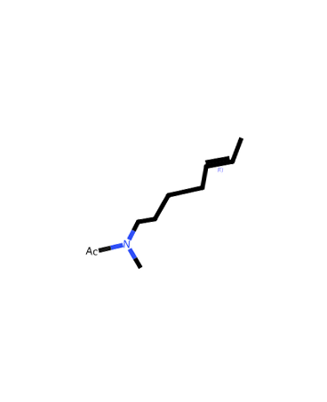 C/C=C/CCCCN(C)C(C)=O